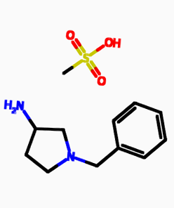 CS(=O)(=O)O.NC1CCN(Cc2ccccc2)C1